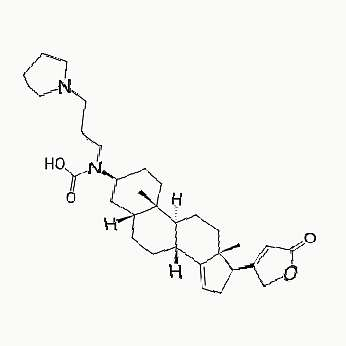 C[C@]12CC[C@H](N(CCCN3CCCC3)C(=O)O)C[C@H]1CC[C@H]1C3=CC[C@H](C4=CC(=O)OC4)[C@@]3(C)CC[C@@H]12